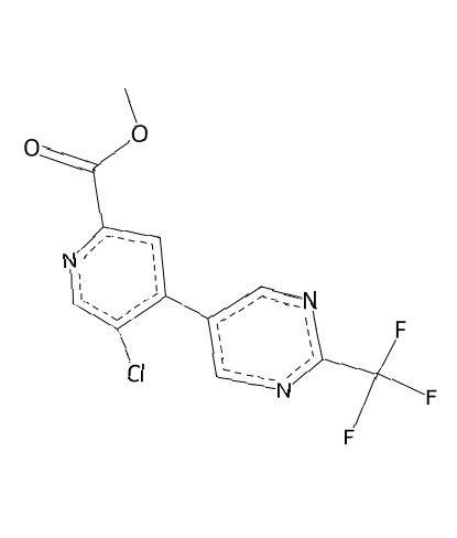 COC(=O)c1cc(-c2cnc(C(F)(F)F)nc2)c(Cl)cn1